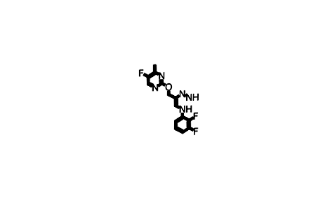 Cc1nc(OC/C(=C/Nc2cccc(F)c2F)N=N)ncc1F